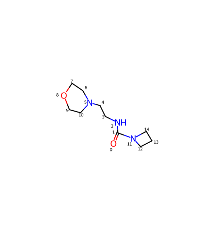 O=C(NCCN1CCOCC1)N1CCC1